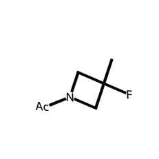 CC(=O)N1CC(C)(F)C1